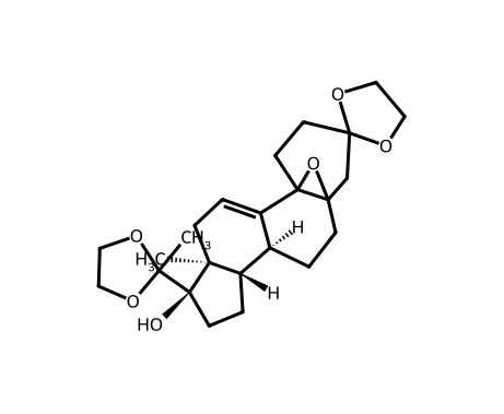 CC1([C@@]2(O)CC[C@H]3[C@@H]4CCC56CC7(CCC5(O6)C4=CC[C@@]32C)OCCO7)OCCO1